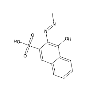 CN=Nc1c(S(=O)(=O)O)cc2ccccc2c1O